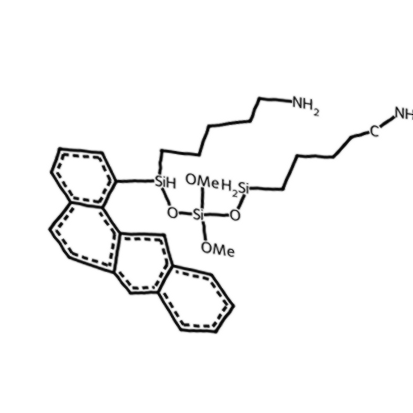 CO[Si](OC)(O[SiH2]CCCCCN)O[SiH](CCCCCN)c1cccc2ccc3cc4ccccc4cc3c12